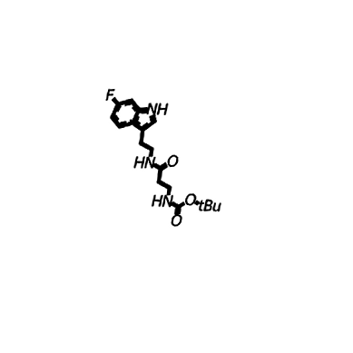 CC(C)(C)OC(=O)NCCC(=O)NCCc1c[nH]c2cc(F)ccc12